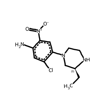 CC[C@H]1CN(c2cc([N+](=O)[O-])c(N)cc2Cl)CCN1